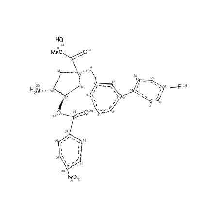 COC(=O)[C@]1(Cc2cccc(-c3ncc(F)cn3)c2)C[C@@H](N)[C@H](OC(=O)c2ccc([N+](=O)[O-])cc2)C1.Cl